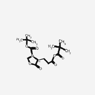 CC(C)(C)OC(=O)N1COC(=O)[C@@H]1CCC(=O)OC(=O)C(C)(C)C